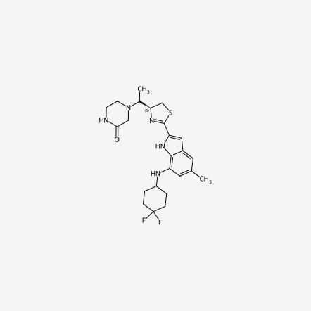 Cc1cc(NC2CCC(F)(F)CC2)c2[nH]c(C3=N[C@@H](C(C)N4CCNC(=O)C4)CS3)cc2c1